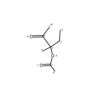 CCC(C)(OC(C)=O)C(=O)I